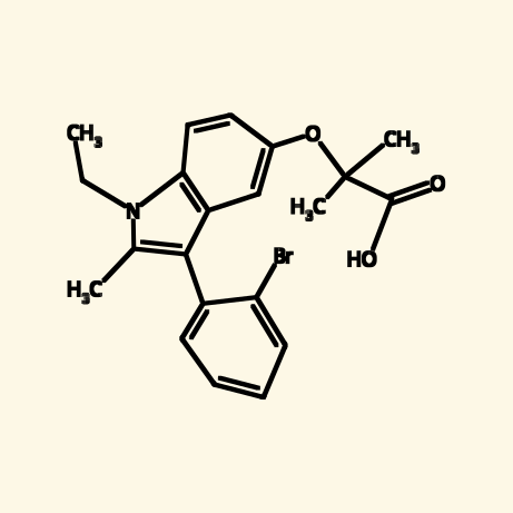 CCn1c(C)c(-c2ccccc2Br)c2cc(OC(C)(C)C(=O)O)ccc21